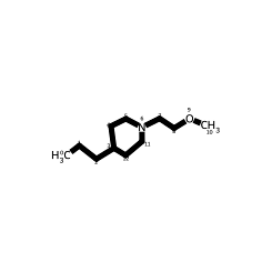 CCCC1CCN(CCOC)CC1